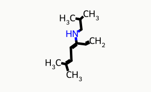 C=C/C(=C\C=C(C)C)NCC(C)C